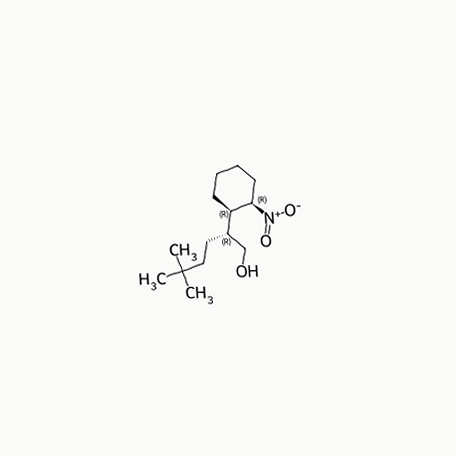 CC(C)(C)CC[C@@H](CO)[C@H]1CCCC[C@H]1[N+](=O)[O-]